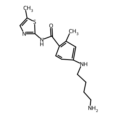 Cc1cnc(NC(=O)c2ccc(NCCCCN)cc2C)s1